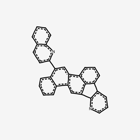 c1cnc2c(c1)-c1cccc3c1c-2cc1c2ccccc2c(-c2ccc4ccccc4n2)cc31